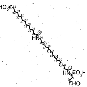 O=[C]CC[C@H](NC(=O)CCOCCOCCOCCOCCNC(=O)CCCCCCCCCCCCC(=O)O)C(=O)O